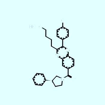 O=C(O)CCCCc1nc2cc(C(=O)N3CC[C@@H](c4ccccc4)C3)ccc2nc1-c1ccc(Cl)cc1